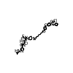 CN(CCCCCCCCOc1ccc(Oc2ccc(N(Cc3ccccc3)C(=O)CCl)cc2)cc1)C[C@H]1CC[C@H](n2cc(NC(=O)c3coc(-c4ccnc(NCC5CC5)c4)n3)c(C(F)F)n2)CC1